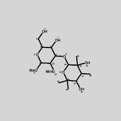 COC1OC(CO)C(O)C(OC2OC(C)(C)C(O)C(C)C2(C)O)C1NC(C)=O